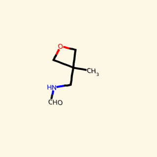 CC1(CNC=O)COC1